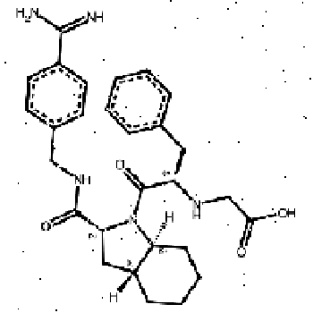 N=C(N)c1ccc(CNC(=O)[C@@H]2C[C@H]3CCCC[C@@H]3N2C(=O)[C@@H](Cc2ccccc2)NCC(=O)O)cc1